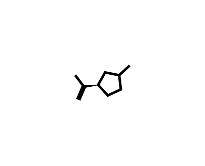 C=C(C)[C@@H]1CCC(C)C1